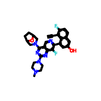 C#Cc1c(F)ccc2cc(O)cc(-c3ncc4c(N5CC6CCC(C5)O6)nc(N5CCN(C)CC5)nc4c3F)c12